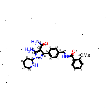 COc1ccccc1C(=O)NCc1ccc(-c2nn(C3CCCCN3)c(N)c2C(N)=O)cc1